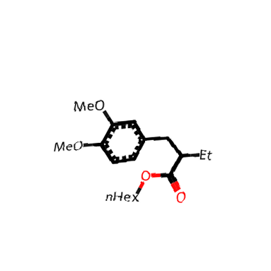 CCCCCCOC(=O)C(CC)Cc1ccc(OC)c(OC)c1